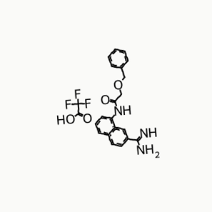 N=C(N)c1ccc2cccc(NC(=O)COCc3ccccc3)c2c1.O=C(O)C(F)(F)F